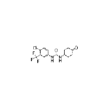 O=C1CCC(NC(=O)Nc2ccc(Cl)c(C(F)(F)F)c2)CC1